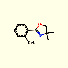 CC1(C)COC(c2cccc[c]2[SnH3])=N1